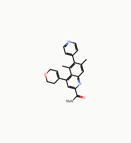 CNC(=O)c1cc(C2=CCOCC2)c2c(C)c(-c3ccncc3)c(C)cc2n1